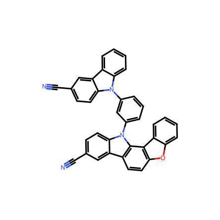 N#Cc1ccc2c(c1)c1ccccc1n2-c1cccc(-n2c3ccc(C#N)cc3c3ccc4oc5ccccc5c4c32)c1